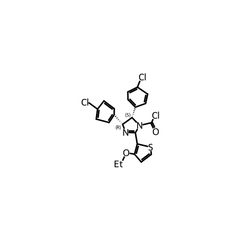 CCOc1ccsc1C1=N[C@H](c2ccc(Cl)cc2)[C@H](c2ccc(Cl)cc2)N1C(=O)Cl